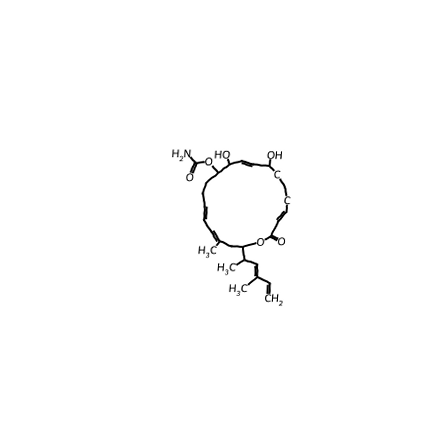 C=C/C(C)=C/C(C)C1C/C(C)=C/C=C/CCC(OC(N)=O)C(O)/C=C/C(O)CCC/C=C/C(=O)O1